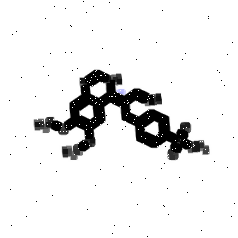 COc1cc2c(cc1OC)/C(=C(/C=N)Cc1ccc(S(N)(=O)=O)cc1)NC=N2